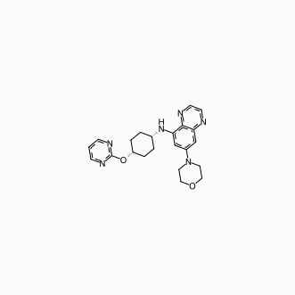 c1cnc(O[C@H]2CC[C@@H](Nc3cc(N4CCOCC4)cc4nccnc34)CC2)nc1